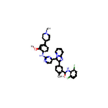 CCCN1CCC(c2ccc(Nc3nccc(-c4c(-c5ccc(OC)c(C(=O)Nc6c(F)cccc6F)c5)nc5ccccn45)n3)c(OCC)c2)CC1